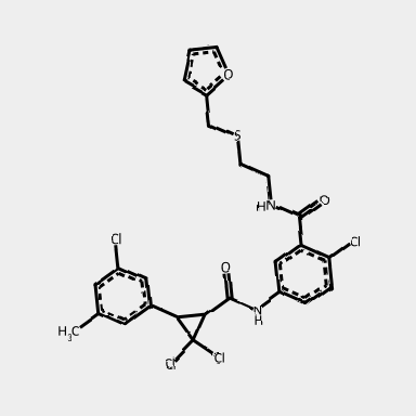 Cc1cc(Cl)cc(C2C(C(=O)Nc3ccc(Cl)c(C(=O)NCCSCc4ccco4)c3)C2(Cl)Cl)c1